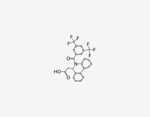 O=C(O)CC1c2ccccc2-c2ccccc2N1C(=O)c1cc(C(F)(F)F)cc(C(F)(F)F)c1